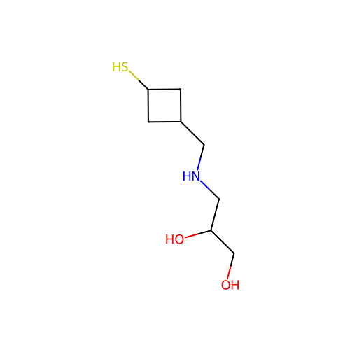 OCC(O)CNCC1CC(S)C1